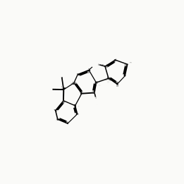 CC1(C)c2ccccc2-c2c1cc1oc3ccccc3c1c2Cl